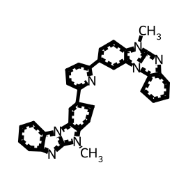 Cn1c2ccc(-c3cccc(-c4ccc5c(c4)n4c6ccccc6nc4n5C)n3)cc2n2c3ccccc3nc12